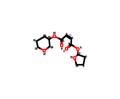 O=C(/C=C\C(=O)OC1CCCO1)OC1CCCOC1